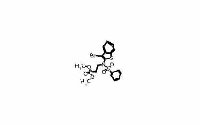 COP(=O)(CCN(c1sc2ccccc2c1Br)S(=O)(=O)c1ccccc1)OC